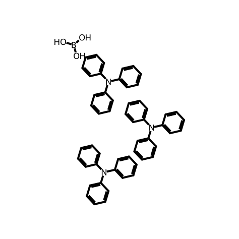 OB(O)O.c1ccc(N(c2ccccc2)c2ccccc2)cc1.c1ccc(N(c2ccccc2)c2ccccc2)cc1.c1ccc(N(c2ccccc2)c2ccccc2)cc1